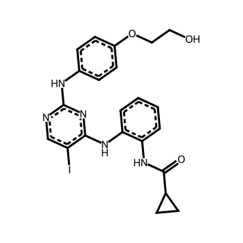 O=C(Nc1ccccc1Nc1nc(Nc2ccc(OCCO)cc2)ncc1I)C1CC1